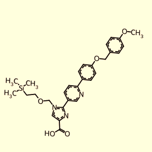 COc1ccc(COc2ccc(-c3ccc(-c4nc(C(=O)O)cn4COCC[Si](C)(C)C)cn3)cc2)cc1